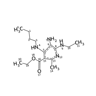 CCCCNc1c(N)c(NCC)nc(C)c1C(=O)OCC